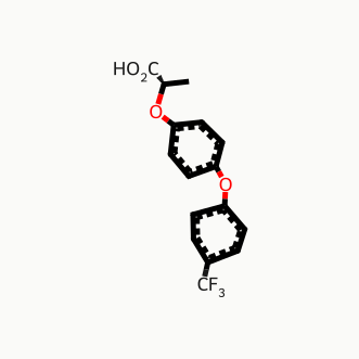 C[C@@H](Oc1ccc(Oc2ccc(C(F)(F)F)cc2)cc1)C(=O)O